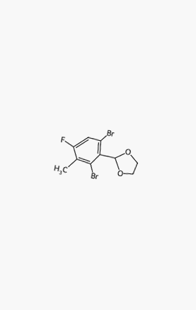 Cc1c(F)cc(Br)c(C2OCCO2)c1Br